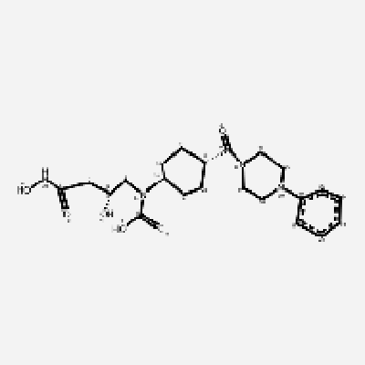 O=C(C[C@@H](O)CN(C(=O)O)[C@H]1CC[C@H](C(=O)N2CCN(c3ccccc3)CC2)CC1)NO